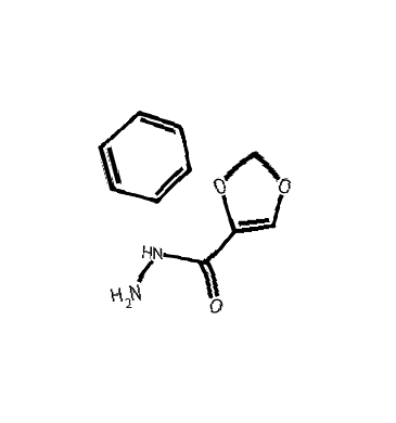 NNC(=O)C1=COCO1.c1ccccc1